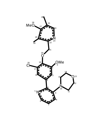 COc1cc(-c2ncccc2N2CCOCC2)cc(Cl)c1OCc1ncc(C)c(OC)c1C